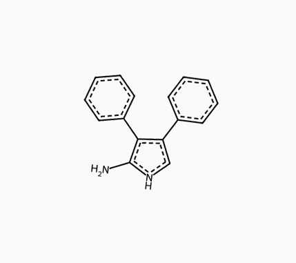 Nc1[nH]cc(-c2ccccc2)c1-c1ccccc1